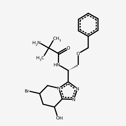 CC(C)(N)C(=O)N[C@H](COCc1ccccc1)c1nnc2n1CC(Br)CC2O